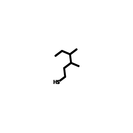 CCC(C)C(C)CCS